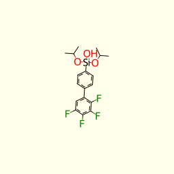 CC(C)O[Si](O)(OC(C)C)c1ccc(-c2cc(F)c(F)c(F)c2F)cc1